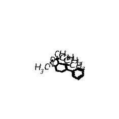 CN1OC(C)(C)C2C1CCC(c1ccccc1)C2(C)C